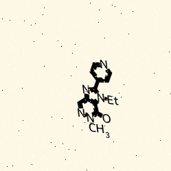 CCn1c(-c2ccncc2)nc2cnn(C)c(=O)c21